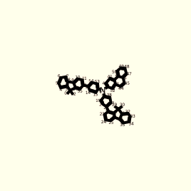 CC1(C)c2ccccc2-c2ccc(-c3ccc(N(c4ccc(-c5cccc6c5C(C)(C)c5ccccc5-6)cc4)c4ccc5c(ccc6ccccc65)c4)cc3)cc21